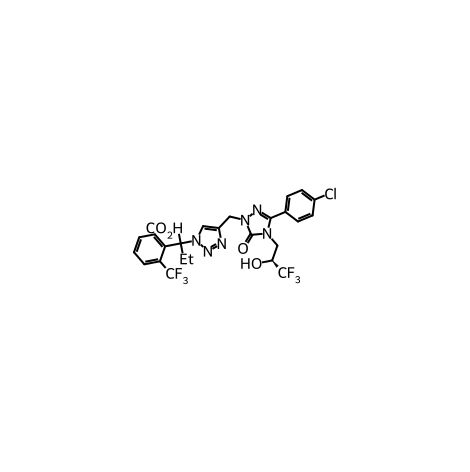 CCC(C(=O)O)(c1ccccc1C(F)(F)F)n1cc(Cn2nc(-c3ccc(Cl)cc3)n(C[C@H](O)C(F)(F)F)c2=O)nn1